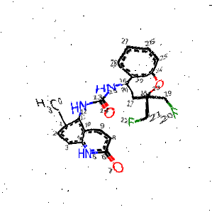 Cc1ccc2[nH]c(=O)ccc2c1NC(=O)N[C@@H]1CC(CF)(CF)Oc2ccccc21